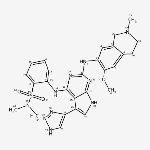 COc1cc2c(cc1Nc1nc(Nc3ccccc3S(=O)(=O)N(C)C)c3c(-c4c[nH]nn4)c[nH]c3n1)CN(C)CC2